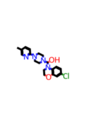 Cc1ccc(N2CCN(C(O)N3CCOc4cc(Cl)ccc43)CC2)nc1